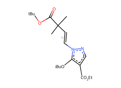 CCOC(=O)c1cnn(/C=C/C(C)(C)C(=O)OC(C)(C)C)c1OCC(C)C